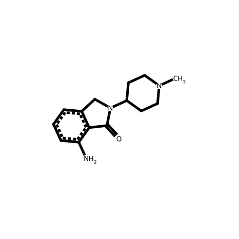 CN1CCC(N2Cc3cccc(N)c3C2=O)CC1